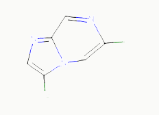 Clc1cn2c(Br)cnc2cn1